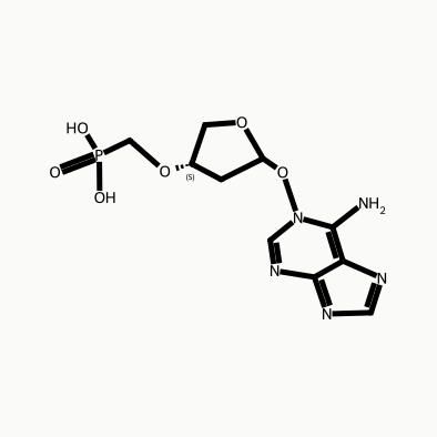 Nc1c2ncnc-2ncn1OC1C[C@H](OCP(=O)(O)O)CO1